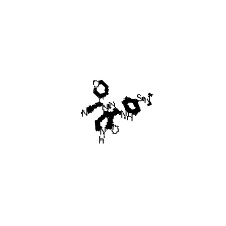 CN(C)Sc1ccc(Nc2nn(C(C#N)[C@H]3CCCOC3)c3cc[nH]c(=O)c23)cc1